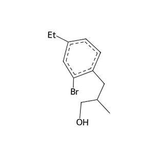 CCc1ccc(CC(C)CO)c(Br)c1